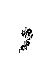 CCN(CCn1ccc(-c2ccc(F)cn2)n1)C(=O)c1cccc(F)c1-n1nccn1